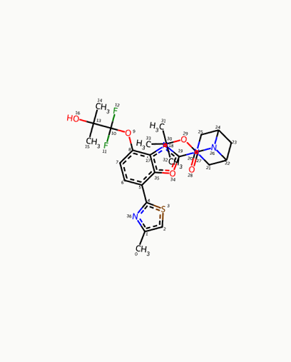 Cc1csc(-c2ccc(OC(F)(F)C(C)(C)O)c3nc(N4CC5CC(C4)N5C(=O)OC(C)(C)C)oc23)n1